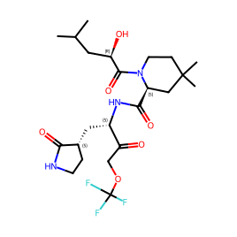 CC(C)C[C@@H](O)C(=O)N1CCC(C)(C)C[C@H]1C(=O)N[C@@H](C[C@@H]1CCNC1=O)C(=O)COC(F)(F)F